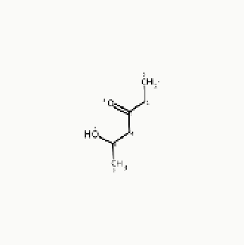 [CH2]CC(=O)CC(C)O